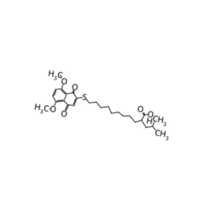 COc1ccc(OC)c2c1C(=O)C=C(SCCCCCCCCCC(CC(C)C)C(=O)O)C2=O